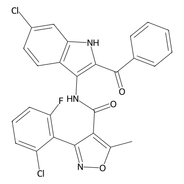 Cc1onc(-c2c(F)cccc2Cl)c1C(=O)Nc1c(C(=O)c2ccccc2)[nH]c2cc(Cl)ccc12